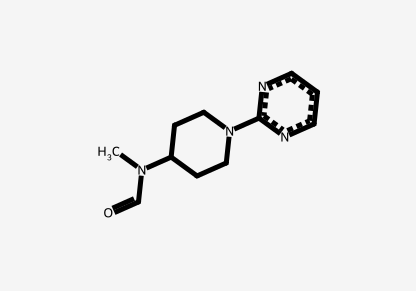 CN(C=O)C1CCN(c2ncccn2)CC1